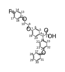 O=C(O)C(c1ccc(OCCOc2ccc(F)cc2)cc1)c1ccc(Oc2ccccc2)cc1